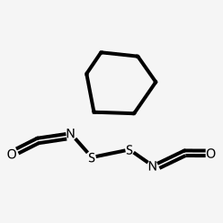 C1CCCCC1.O=C=NSSN=C=O